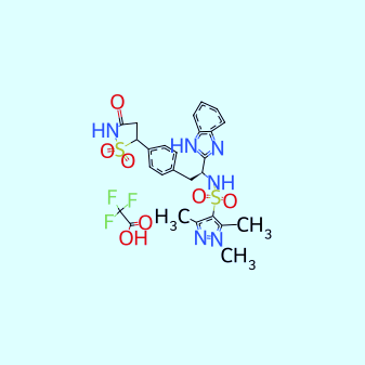 Cc1nn(C)c(C)c1S(=O)(=O)N[C@@H](Cc1ccc(C2CC(=O)NS2(=O)=O)cc1)c1nc2ccccc2[nH]1.O=C(O)C(F)(F)F